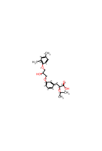 Cc1ccc(OCC(O)COc2cccc(CC(OC(C)C)C(=O)O)c2)c(C)c1